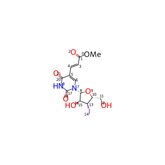 COC(=O)C=Cc1cn([C@@H]2O[C@H](CO)[C@@H](I)[C@H]2O)c(=O)[nH]c1=O